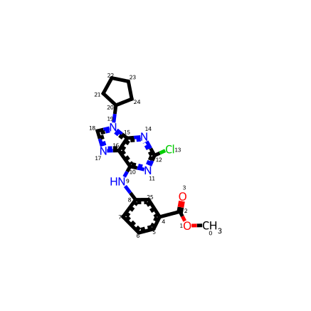 COC(=O)c1cccc(Nc2nc(Cl)nc3c2ncn3C2CCCC2)c1